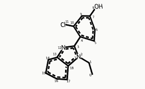 CCn1c(-c2ccc(O)cc2Cl)nc2ccccc21